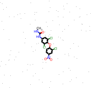 CNC(=O)Nc1cc(Cl)c(Oc2ccc([N+](=O)[O-])cc2Cl)c(Cl)c1